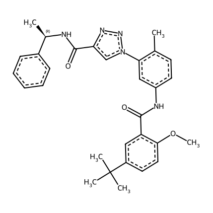 COc1ccc(C(C)(C)C)cc1C(=O)Nc1ccc(C)c(-n2cc(C(=O)N[C@H](C)c3ccccc3)nn2)c1